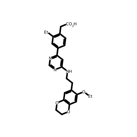 CCOc1cc2c(cc1CCNc1cc(-c3ccc(CC(=O)O)c(CC)c3)ncn1)OCCO2